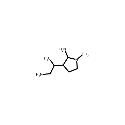 CC(CN)C1CCN(C)C1N